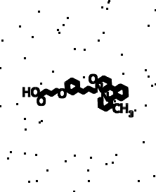 Cc1cccnc1-c1ccccc1-c1ccc(=O)n(CCCc2cccc(OCCCC(=O)O)c2)c1